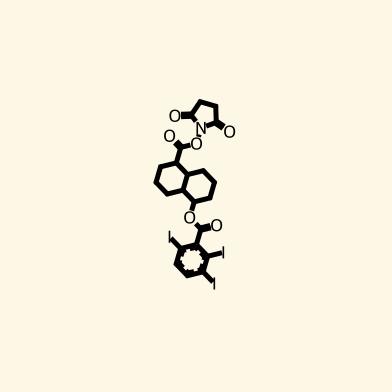 O=C(OC1CCCC2C(C(=O)ON3C(=O)CCC3=O)CCCC12)c1c(I)ccc(I)c1I